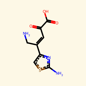 NCC(=CC(=O)C(=O)O)c1csc(N)n1